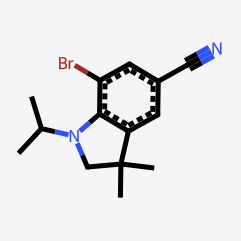 CC(C)N1CC(C)(C)c2cc(C#N)cc(Br)c21